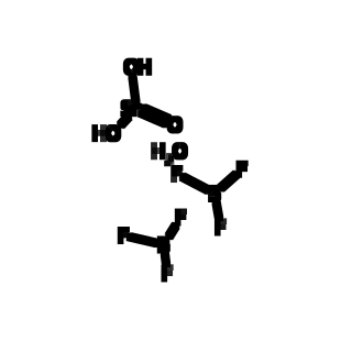 FB(F)F.FB(F)F.O.[O]=[Sn]([OH])[OH]